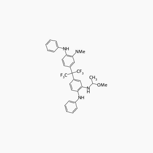 CNc1cc(C(c2ccc(Nc3ccccc3)c(NC(C)OC)c2)(C(F)(F)F)C(F)(F)F)ccc1Nc1ccccc1